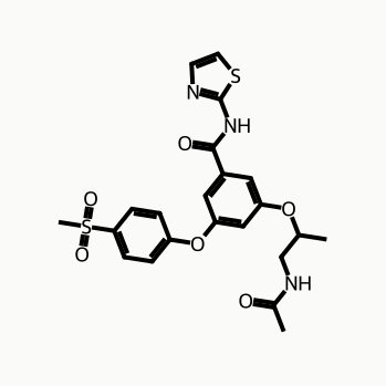 CC(=O)NCC(C)Oc1cc(Oc2ccc(S(C)(=O)=O)cc2)cc(C(=O)Nc2nccs2)c1